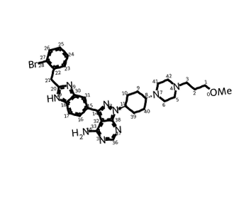 COCCCN1CCN([C@H]2CC[C@H](n3nc(-c4ccc5[nH]c(Cc6ccccc6Br)nc5c4)c4c(N)ncnc43)CC2)CC1